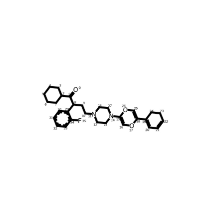 O=C(C1CCCCC1)C(CCN1CCN(C2=COC(C3=CC=CCC3)=CO2)CC1)c1ccccc1F